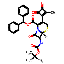 Cc1c(C2=C(C(=O)OC(c3ccccc3)c3ccccc3)N3C(=O)C(NC(=O)OC(C)(C)C)[C@H]3SC2)c(=O)c1=O